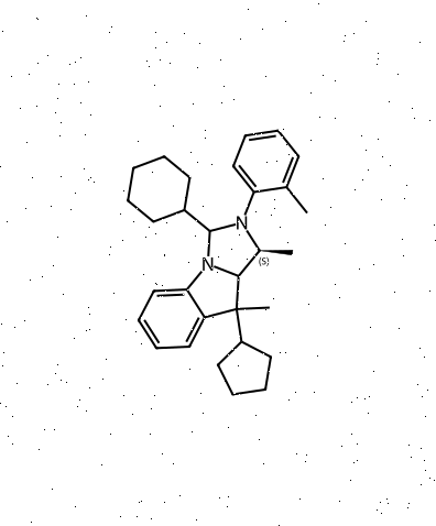 Cc1ccccc1N1C(C2CCCCC2)N2c3ccccc3C(C)(C3CCCC3)C2[C@@H]1C